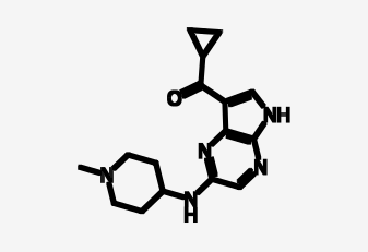 CN1CCC(Nc2cnc3[nH]cc(C(=O)C4CC4)c3n2)CC1